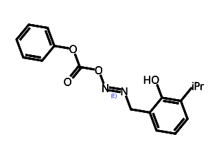 CC(C)c1cccc(C/N=N/OC(=O)Oc2ccccc2)c1O